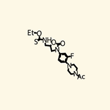 CCOC(=S)NCC1CN(c2ccc(N3CCN(C(C)=O)CC3)c(F)c2)C(=O)O1